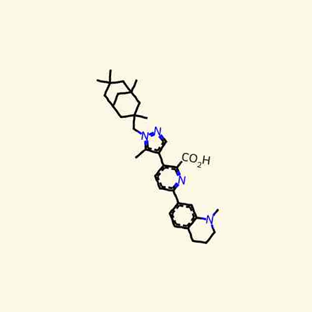 Cc1c(-c2ccc(-c3ccc4c(c3)N(C)CCC4)nc2C(=O)O)cnn1CC1(C)CC2CC(C)(C)CC(C)(C2)C1